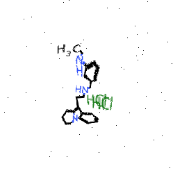 CCNc1cccc(CNCCc2c3n(c4ccccc24)CCCC3)c1.Cl.Cl